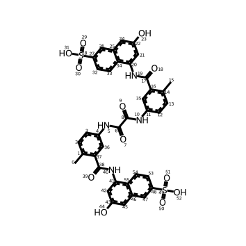 Cc1ccc(NC(=O)C(=O)Nc2ccc(C)c(C(=O)Nc3cc(O)cc4cc(S(=O)(=O)O)ccc34)c2)cc1C(=O)Nc1cc(O)cc2cc(S(=O)(=O)O)ccc12